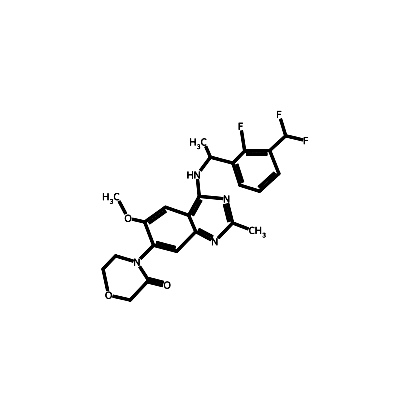 COc1cc2c(NC(C)c3cccc(C(F)F)c3F)nc(C)nc2cc1N1CCOCC1=O